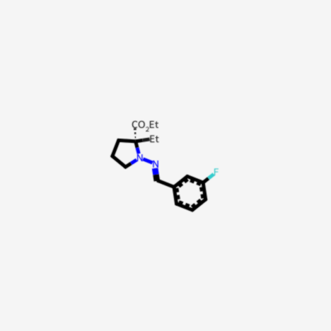 CCOC(=O)[C@@]1(CC)CCCN1/N=C/c1cccc(F)c1